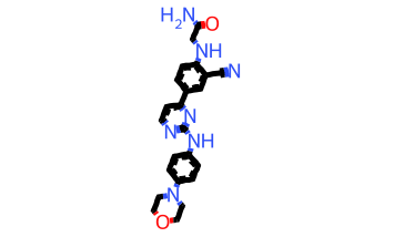 N#Cc1cc(-c2ccnc(Nc3ccc(N4CCOCC4)cc3)n2)ccc1NCC(N)=O